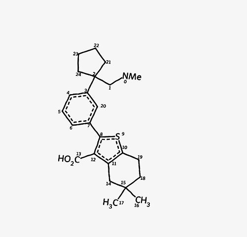 CNCC1(c2cccc(-c3sc4c(c3C(=O)O)CC(C)(C)CC4)c2)CCCC1